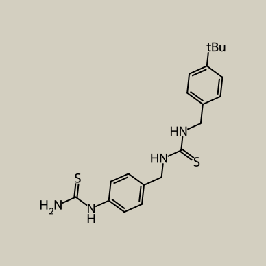 CC(C)(C)c1ccc(CNC(=S)NCc2ccc(NC(N)=S)cc2)cc1